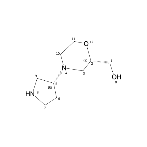 OC[C@@H]1CN([C@@H]2CCNC2)CCO1